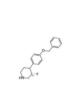 F[C@@H]1CNCCC1c1ccc(OCc2ccccc2)cc1